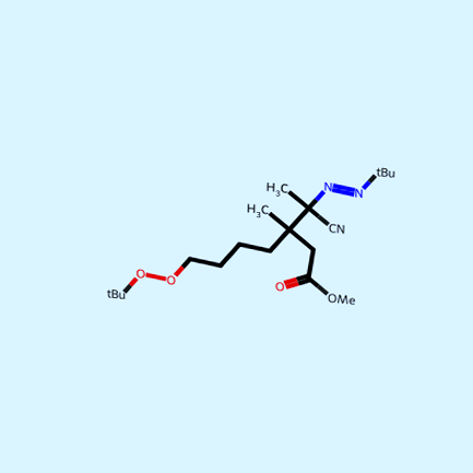 COC(=O)CC(C)(CCCCOOC(C)(C)C)C(C)(C#N)N=NC(C)(C)C